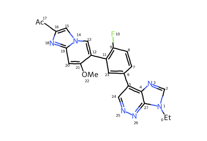 CCn1cnc2c(-c3ccc(F)c(-c4cn5cc(C(C)=O)nc5cc4OC)c3)cnnc21